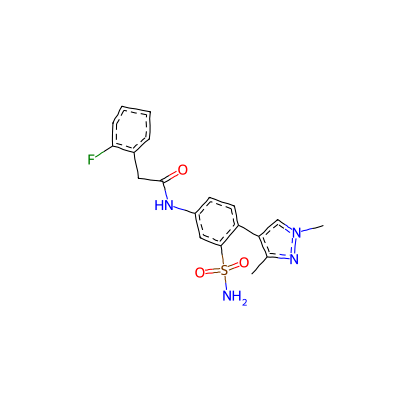 Cc1nn(C)cc1-c1ccc(NC(=O)Cc2ccccc2F)cc1S(N)(=O)=O